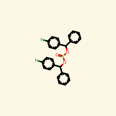 O=S(OC(c1ccccc1)c1ccc(F)cc1)OC(c1ccccc1)c1ccc(F)cc1